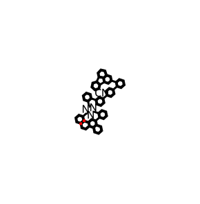 N#Cc1c(-c2ccc(-c3ccccc3-c3cc4c5c(cccc5c3)-c3ccccc3-4)cc2)cccc1-c1ccccc1-c1nc(-c2ccccc2)nc(-c2ccccc2-c2cc3ccccc3c3ccccc23)n1